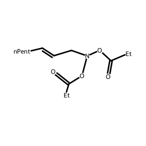 CCCCCC=CCN(OC(=O)CC)OC(=O)CC